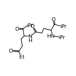 CCC(=O)CCC(NC(=O)CCC(NC(C)C)C(=O)C(C)C)C(=O)C(C)C